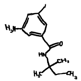 CCC(C)(C)NC(=O)c1cc(N)cc(I)c1